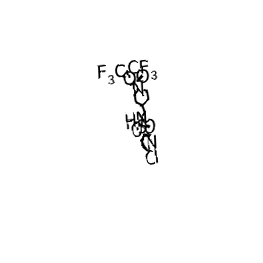 O=C(OC(C(F)(F)F)C(F)(F)F)N1CCC(CNS(=O)(=O)c2ccc(Cl)nc2)CC1